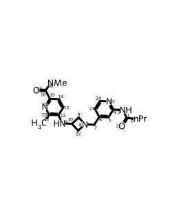 CCCC(=O)Nc1cc(CN2CC(Nc3ccc(C(=O)NC)nc3C)C2)ccn1